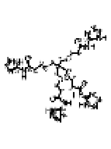 O=C(CCOCC(COCCC(=O)Nc1nnn[nH]1)(COCCC(=O)Nc1nnn[nH]1)COCCC(=O)Nc1nnn[nH]1)Nc1nnn[nH]1